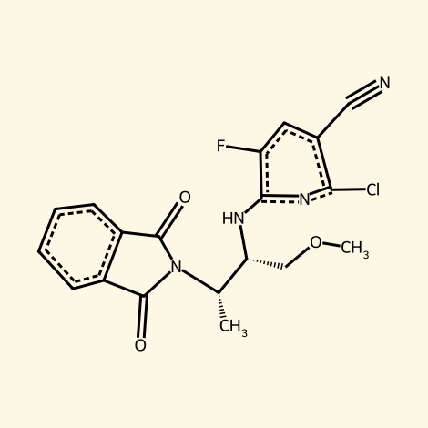 COC[C@@H](Nc1nc(Cl)c(C#N)cc1F)[C@H](C)N1C(=O)c2ccccc2C1=O